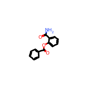 NC(=O)c1ccccc1OC(=O)c1ccccc1